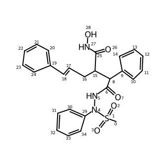 CS(=O)(=O)N(NC(=O)C(c1ccccc1)C(CC=Cc1ccccc1)C(=O)NO)c1ccccc1